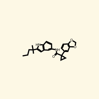 CCCC(C)(C)c1cc2cc(NC(=O)C3(c4ccc5c(c4)OCO5)CC3)ccc2[nH]1